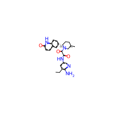 CCc1cc(NC(=O)C(=O)N2C[C@H](C)CC[C@H]2c2ccc3[nH]c(=O)ccc3c2)cnc1N